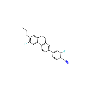 CCCc1cc2c(cc1F)-c1ccc(-c3ccc(C#N)c(F)c3)cc1CC2